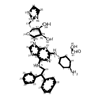 N[C@H]1CC[C@H](Nc2nc(NCC(c3ccccc3)c3ccccc3)c3ncn([C@@H]4O[C@H](Cn5nccn5)[C@@H](O)[C@H]4O)c3n2)CC1.O=CO